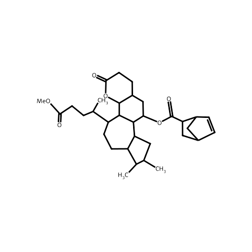 COC(=O)CCC(C)C1CCC2C(C)C(C)CC2C2C(OC(=O)C3CC4C=CC3C4)CC3CCC(=O)OC3C12